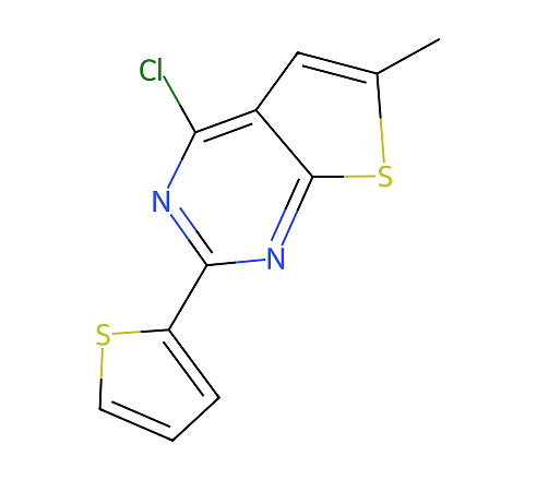 Cc1cc2c(Cl)nc(-c3cccs3)nc2s1